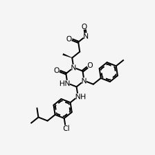 Cc1ccc(CN2C(=O)N([C@@H](C)CC(=O)N=O)C(=O)NC2Nc2ccc(CC(C)C)c(Cl)c2)cc1